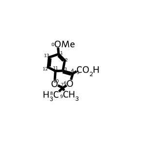 COC1=CC2=C(C(=O)O)OC(C)(C)OC2C=C1